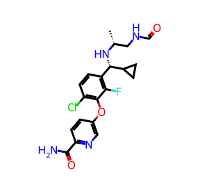 C[C@H](CNC=O)N[C@@H](c1ccc(Cl)c(Oc2ccc(C(N)=O)nc2)c1F)C1CC1